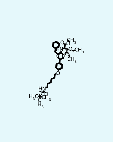 CCOP(OCC)C(Nc1ncc(-c2ccc(OCCCCCCNC(=O)OC(C)(C)C)cc2)nc1Cc1ccccc1)C(=O)OC